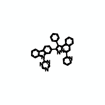 c1ccc(-c2c(-c3ccc4c5ccccc5n(-c5ncncn5)c4c3)nn3c(-c4ccccn4)cc4ccccc4c23)cc1